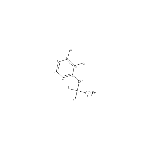 CCOC(=O)C(C)(C)Oc1cccc(C)c1C